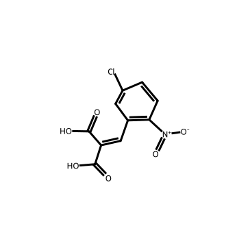 O=C(O)C(=Cc1cc(Cl)ccc1[N+](=O)[O-])C(=O)O